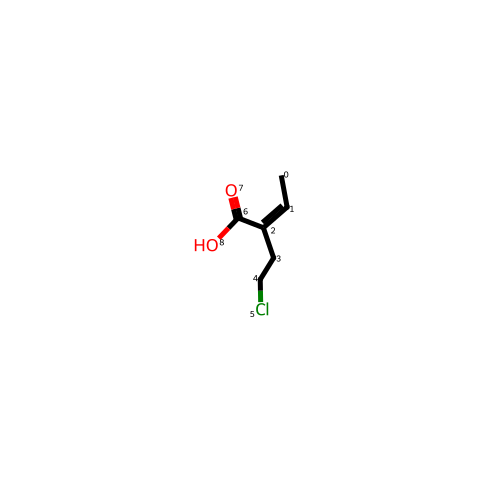 CC=C(CCCl)C(=O)O